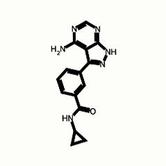 Nc1ncnc2[nH]nc(-c3cccc(C(=O)NC4CC4)c3)c12